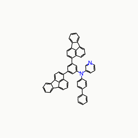 c1ccc(-c2ccc(N(c3cccnc3)c3cc(-c4ccc5c6c(cccc46)-c4ccccc4-5)cc(-c4ccc5c6c(cccc46)-c4ccccc4-5)c3)cc2)cc1